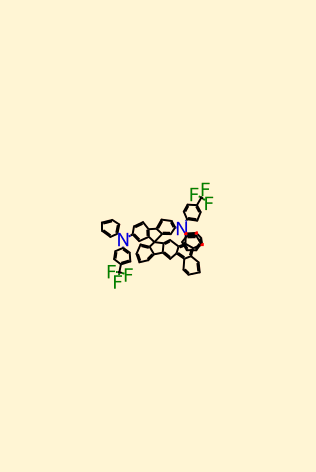 FC(F)(F)c1ccc(N(c2ccccc2)c2ccc3c(c2)C2(c4ccccc4-c4cc5c6ccccc6c6ccccc6c5cc42)c2cc(N(c4ccccc4)c4ccc(C(F)(F)F)cc4)ccc2-3)cc1